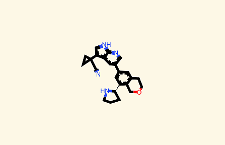 N#CC1(c2c[nH]c3ncc(-c4cc5c(c([C@@H]6CCCN6)c4)COCC5)cc23)CC1